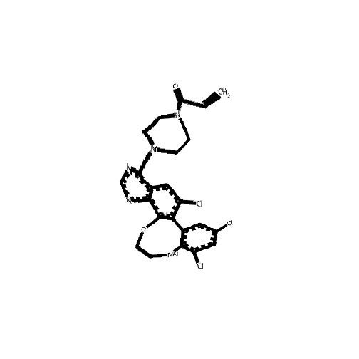 C=CC(=O)N1CCN(c2ncnc3c4c(c(Cl)cc23)-c2cc(Cl)cc(Cl)c2NCCO4)CC1